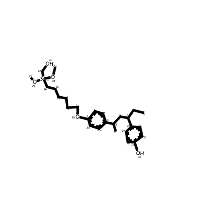 CCC(CC(C)c1ccc(OCCCCCC[Si](CO)(OC)OC)cc1)c1ccc(O)cc1